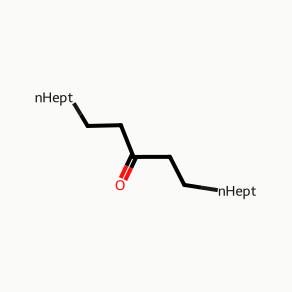 CCCCCCCCCC(=O)CCCCCCCCC